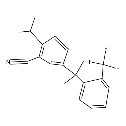 CC(C)c1ccc(C(C)(C)c2ccccc2C(F)(F)F)cc1C#N